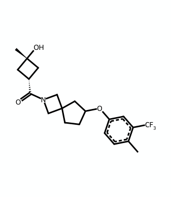 Cc1ccc(OC2CCC3(C2)CN(C(=O)[C@H]2C[C@@](C)(O)C2)C3)cc1C(F)(F)F